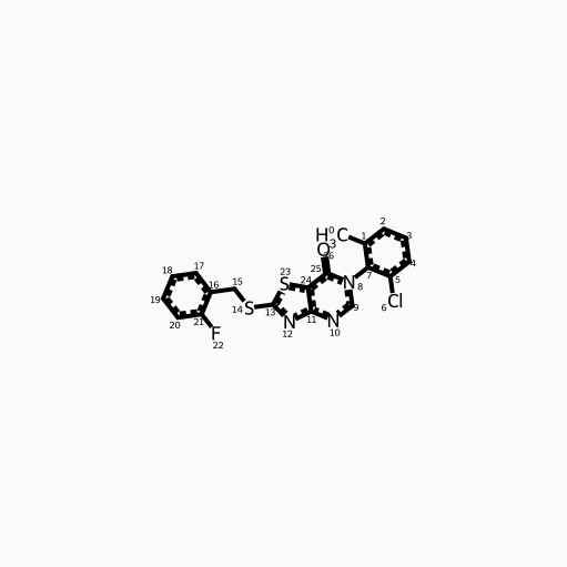 Cc1cccc(Cl)c1-n1cnc2nc(SCc3ccccc3F)sc2c1=O